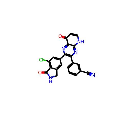 N#Cc1cccc(-c2nc3[nH]ccc(=O)c3nc2-c2cc(Cl)c3c(c2)CNC3=O)c1